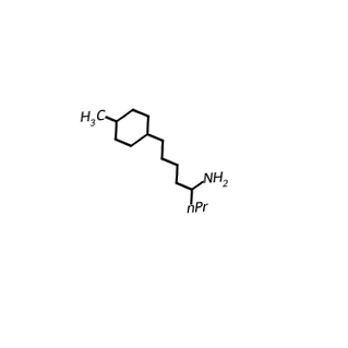 CCCC(N)CCCCC1CCC(C)CC1